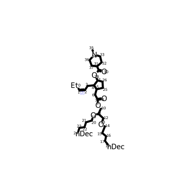 CC/C=C\CC1C(CC(=O)OCC(COCCCCCCCCCCCCCC)OCCCCCCCCCCCCCC)CCC1OC(=O)C1CCN(C)CC1